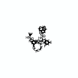 O=C(N[C@@H](Cc1cc(F)cc(F)c1)[C@H](O)CN1CCCCCCCOCc2cc3nc(NC4CC4)oc3cc2S1(=O)=O)O[C@@H]1CC2CO[C@@H]3OCC[C@H]1[C@H]23